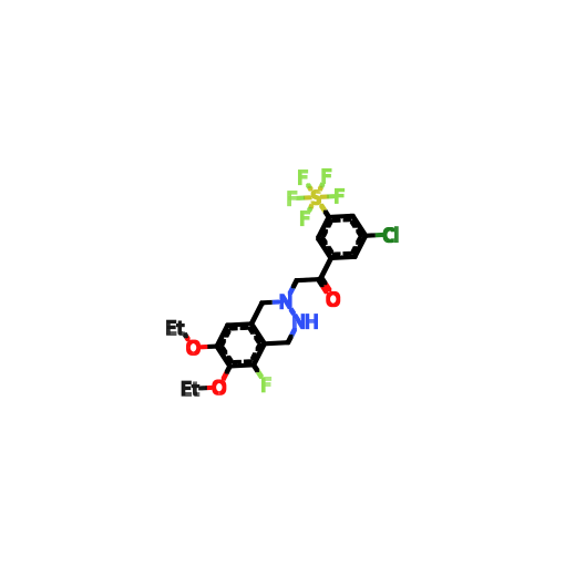 CCOc1cc2c(c(F)c1OCC)CNN(CC(=O)c1cc(Cl)cc(S(F)(F)(F)(F)F)c1)C2